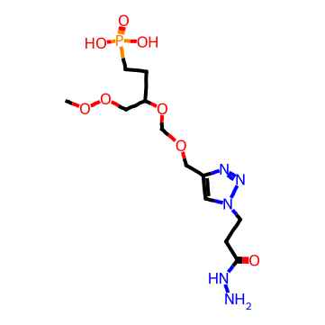 COOCC(CCP(=O)(O)O)OCOCc1cn(CCC(=O)NN)nn1